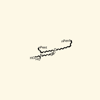 CCCCC/C=C\C/C=C\CCCCCCCCOC(CCCCCCC/C=C\C/C=C\CCCCC)O[Si](C)(C)OCCCCCCN(C)C(CO)CCCO